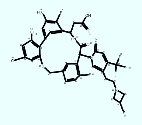 Cc1cc2cc(c1F)C(CC(=O)O)NC(=O)C(n1cc(CCN3CC(F)C3)c(C(F)(F)F)cc1=O)c1cc(ccc1F)COc1cc(Cl)cc(C)c1-2